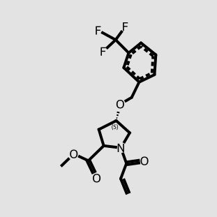 C=CC(=O)N1C[C@@H](OCc2cccc(C(F)(F)F)c2)CC1C(=O)OC